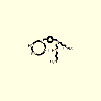 CCNCCCN(CCNCCCN)Cc1ccc(CN2CCCNCCNCCCNCC2)cc1